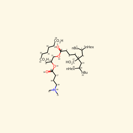 CCCCCCC(CCCC)CC(CCCC(=O)OCC(C)OC(=O)CCCN(C)C)(CC(CCCC)CCCCCC)C(=O)O.O=C(O)CCCCC(=O)O